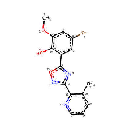 COc1cc(Br)cc(-c2nc(-c3ncccc3C)no2)c1O